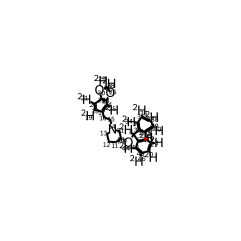 [2H]c1c([2H])c([2H])c(C([2H])(O[C@@H]2CCCN(CCc3c([2H])c([2H])c4c(c3[2H])OC([2H])([2H])O4)C2)c2c([2H])c([2H])c([2H])c([2H])c2[2H])c([2H])c1[2H]